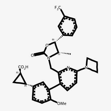 COc1ccc([C@@H]2C[C@H]2C(=O)O)cc1-c1ccc(N2CCC2)nc1CN1C(=O)O[C@H](c2cccc(C(F)(F)F)c2)[C@@H]1C